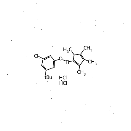 CC1=C(C)C(C)[C]([Ti][O]c2cc(Cl)cc(C(C)(C)C)c2)=C1C.Cl.Cl